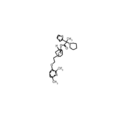 Cc1ccc(OCC[N+]23CCC(CC2)[C@@H](OC(=O)C(C)(c2cccs2)N2CCCCC2)C3)c(C)n1